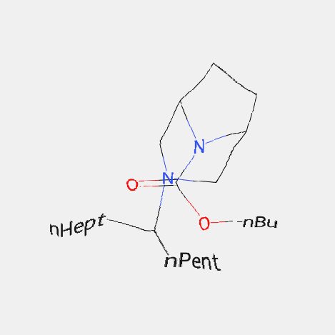 CCCCCCCC(CCCCC)N1CC2CCC(C1)N2C(=O)OCCCC